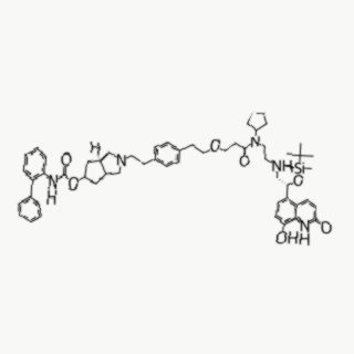 CC(C)(C)[Si](C)(C)O[C@@H](CNCCN(C(=O)CCOCCc1ccc(CCN2CC3CC(OC(=O)Nc4ccccc4-c4ccccc4)C[C@H]3C2)cc1)C1CCCC1)c1ccc(O)c2[nH]c(=O)ccc12